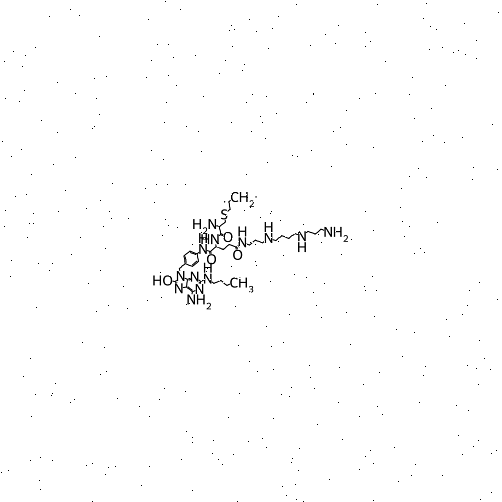 [CH2][CH]CSC[C@H](N)C(=O)N[C@@H](CCC(=O)NCCCNCCCCNCCCN)C(=O)Nc1ccc(Cn2c(O)nc3c(N)nc(NCCCC)nc32)cc1